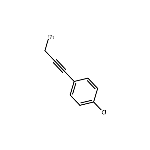 CC(C)CC#Cc1ccc(Cl)cc1